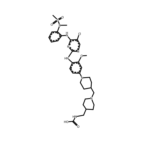 COc1cc(N2CCC(CN3CCC(CNC(=O)O)CC3)CC2)ccc1Nc1ncc(Cl)c(Nc2ccccc2N(C)S(C)(=O)=O)n1